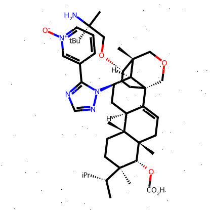 CC(C)[C@@H](C)[C@@]1(C)CC[C@]2(C)[C@H]3CC[C@@H]4[C@@]5(COC[C@@]4(C)[C@@H](OC[C@](C)(N)C(C)(C)C)[C@H](n4ncnc4-c4ccc[n+]([O-])c4)C5)C3=CC[C@]2(C)[C@@H]1OC(=O)O